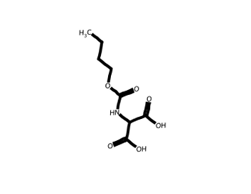 CCCCOC(=O)NC(C(=O)O)C(=O)O